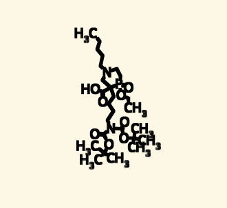 CCCCCN1CCP(=O)(OCC)C(CCCCN(C(=O)OC(C)(C)C)C(=O)OC(C)(C)C)(C(=O)O)C1